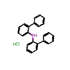 Cl.c1ccc(-c2ccccc2Pc2ccccc2-c2ccccc2)cc1